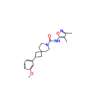 COc1cccc(C2CC3(CCN(C(=O)Nc4onc(C)c4C)CC3)C2)c1